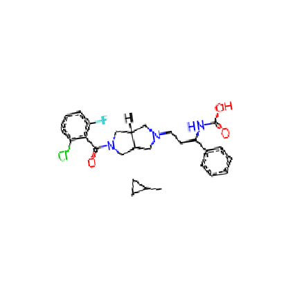 CC1CC1.O=C(O)NC(CCN1CC2CN(C(=O)c3c(F)cccc3Cl)C[C@@H]2C1)c1ccccc1